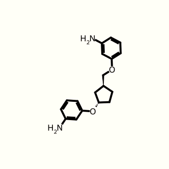 Nc1cccc(OC[C@H]2CC[C@H](Oc3cccc(N)c3)C2)c1